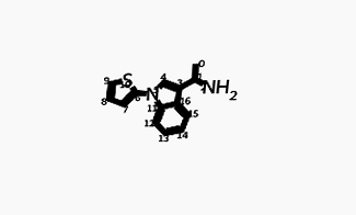 CC(N)c1cn(-c2cccs2)c2ccccc12